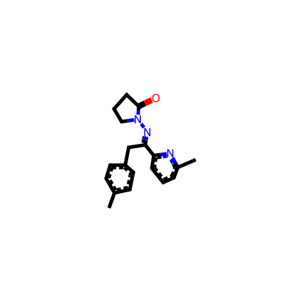 Cc1ccc(C/C(=N\N2CCCC2=O)c2cccc(C)n2)cc1